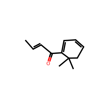 CC=CC(=O)C1=CC=CCC1(C)C